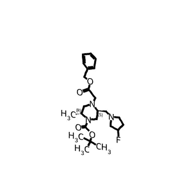 C[C@@H]1CN(CC(=O)OCc2ccccc2)[C@@H](CN2CCC(F)C2)CN1C(=O)OC(C)(C)C